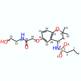 CCCS(=O)(=O)NC1CC(C)(C)Oc2ccc(OCC(=O)NCCO)cc21